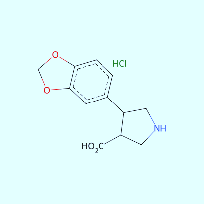 Cl.O=C(O)C1CNCC1c1ccc2c(c1)OCO2